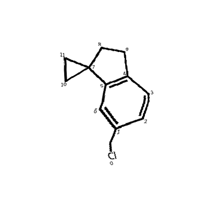 Clc1ccc2c(c1)C1(CC2)CC1